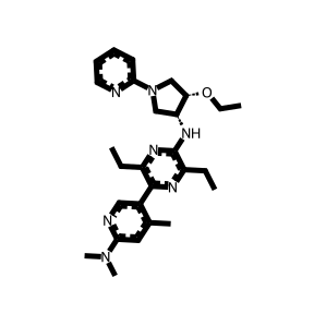 CCO[C@H]1CN(c2ccccn2)C[C@H]1Nc1nc(CC)c(-c2cnc(N(C)C)cc2C)nc1CC